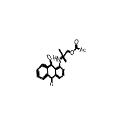 CC(=O)C(=O)OCC(C)(C)Nc1cccc2c1C(=O)c1ccccc1C2=O